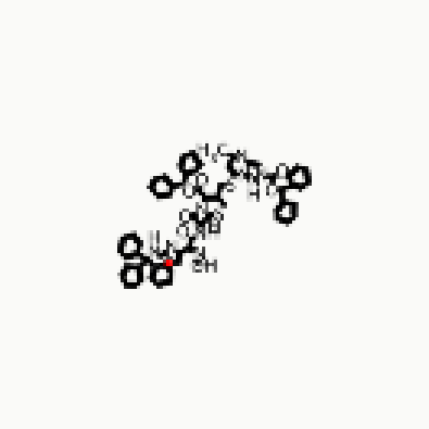 CC1=NC2=CN(C(=O)OC(c3ccccc3)c3ccccc3)NN2C(SCC2=C(C(=O)OC(c3ccccc3)c3ccccc3)N3C(=O)[C@@H](NC(=O)C(=NO)c4csc(NC(c5ccccc5)(c5ccccc5)c5ccccc5)n4)[C@H]3SC2)=C1